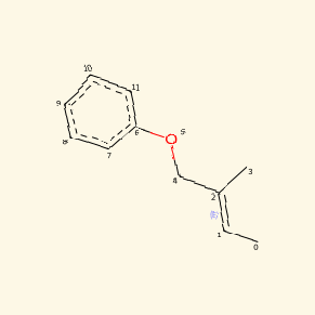 C/C=C(\C)COc1cc[c]cc1